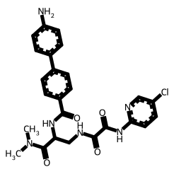 CN(C)C(=O)C(CNC(=O)C(=O)Nc1ccc(Cl)cn1)NC(=O)c1ccc(-c2ccc(N)cc2)cc1